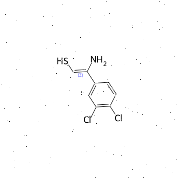 N/C(=C\S)c1ccc(Cl)c(Cl)c1